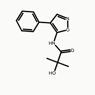 CC(C)(O)C(=O)Nc1oncc1-c1ccccc1